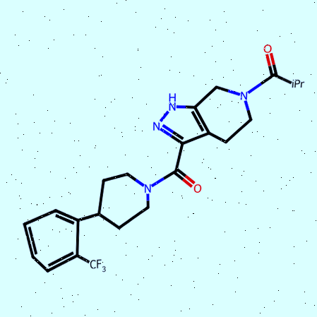 CC(C)C(=O)N1CCc2c(C(=O)N3CCC(c4ccccc4C(F)(F)F)CC3)n[nH]c2C1